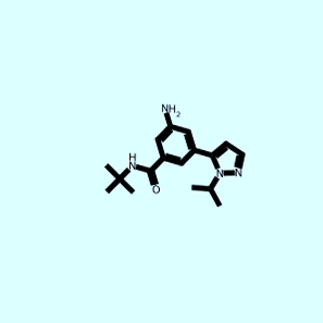 CC(C)n1nccc1-c1cc(N)cc(C(=O)NC(C)(C)C)c1